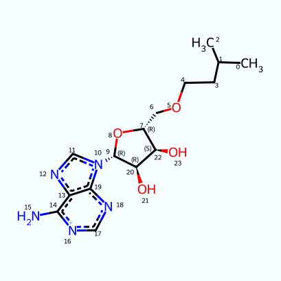 CC(C)CCOC[C@H]1O[C@@H](n2cnc3c(N)ncnc32)[C@H](O)[C@@H]1O